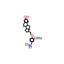 CCN(CC)Cc1ccc(OCCC2CCC3C4C(CCC23C)c2ccc(O)cc2C[C@H]4C)c(OC)c1